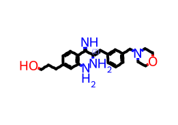 N=C(/C(N)=C/c1cccc(CN2CCOCC2)c1)c1ccc(CCCO)cc1N